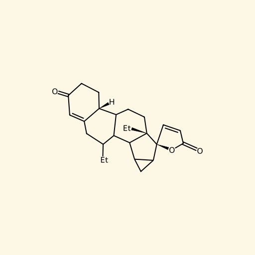 CCC1CC2=CC(=O)CC[C@@H]2C2CC[C@@]3(CC)C(C4CC4[C@@]34C=CC(=O)O4)C12